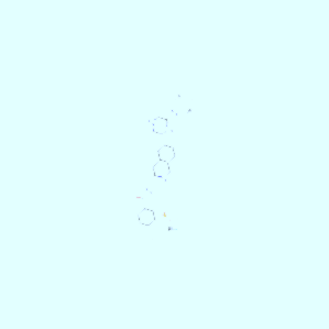 C[C@@H]1CN(c2cncc(-c3ccc4cnc(CNC(=O)c5cc(F)c6c(c5)S(=O)(=O)[C@@H](F)CCO6)cc4c3)n2)C[C@H](C)O1